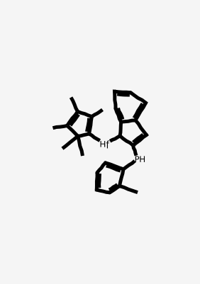 CC1=C(C)C(C)(C)[C]([Hf][CH]2C(Pc3ccccc3C)=Cc3ccccc32)=C1C